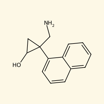 NCC1(c2cccc3ccccc23)CC1O